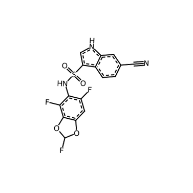 N#Cc1ccc2c(S(=O)(=O)Nc3c(F)cc4c(c3F)OC(F)O4)c[nH]c2c1